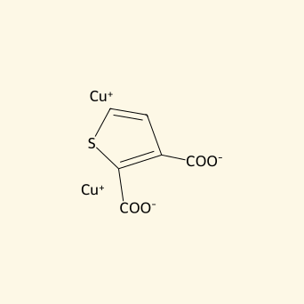 O=C([O-])c1ccsc1C(=O)[O-].[Cu+].[Cu+]